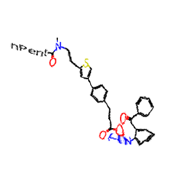 CCCCCC(=O)N(C)CCc1cc(-c2ccc(CCC(=O)ONc3ccccc3C(=O)c3ccccc3)cc2)cs1